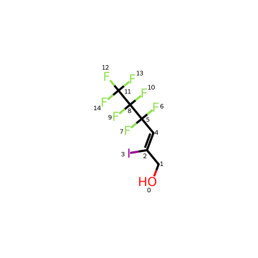 OCC(I)=CC(F)(F)C(F)(F)C(F)(F)F